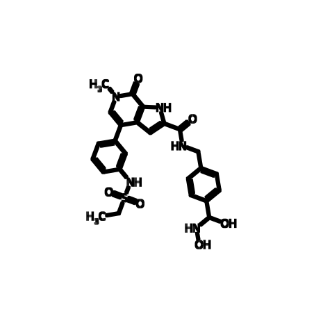 CCS(=O)(=O)Nc1cccc(-c2cn(C)c(=O)c3[nH]c(C(=O)NCc4ccc(C(O)NO)cc4)cc23)c1